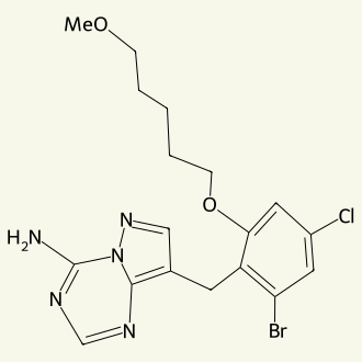 COCCCCCOc1cc(Cl)cc(Br)c1Cc1cnn2c(N)ncnc12